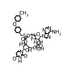 Cc1ccc(Oc2ccc(CSP3(=O)OC[C@H]4O[C@@H](n5cnc6c(N)ncnc65)[C@H](OP(=O)(O)OC[C@H]5O[C@@H](n6ccc(=O)[nH]c6=O)[C@H](F)[C@@H]5O3)[C@@H]4F)cc2)cc1